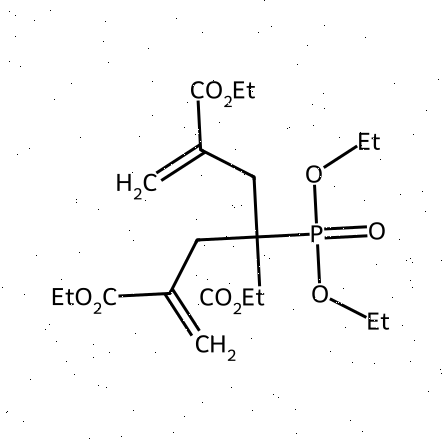 C=C(CC(CC(=C)C(=O)OCC)(C(=O)OCC)P(=O)(OCC)OCC)C(=O)OCC